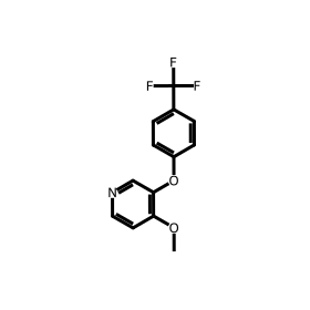 COc1ccncc1Oc1ccc(C(F)(F)F)cc1